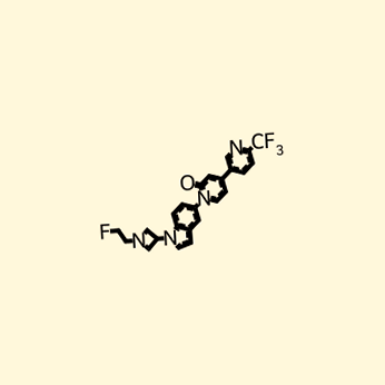 O=c1cc(-c2ccc(C(F)(F)F)nc2)ccn1-c1ccc2c(ccn2C2CN(CCF)C2)c1